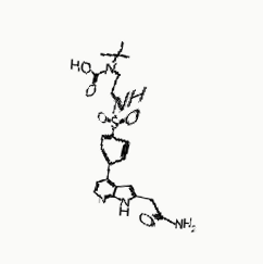 CC(C)(C)N(CCNS(=O)(=O)c1ccc(-c2ccnc3[nH]c(CC(N)=O)cc23)cc1)C(=O)O